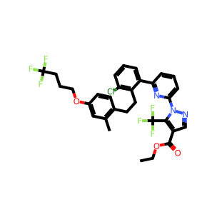 CCOC(=O)c1cnn(-c2cccc(-c3cccc(Cl)c3CCc3ccc(OCCCC(F)(F)F)cc3C)n2)c1C(F)(F)F